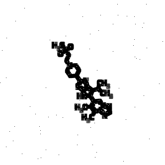 Cc1c(-c2[nH]c3sc(C4CCN(CCS(C)(=O)=O)CC4)nc3c2C(C)C)cn2ncnc2c1C